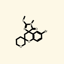 CSC1=NC2(CC3(CCCOC3)Oc3ccc(Br)cc32)C(=O)N1C